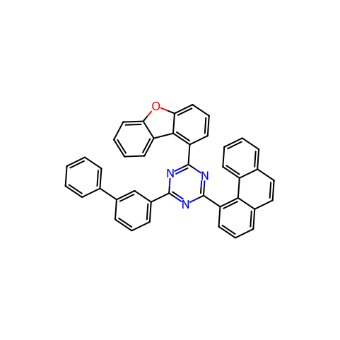 c1ccc(-c2cccc(-c3nc(-c4cccc5ccc6ccccc6c45)nc(-c4cccc5oc6ccccc6c45)n3)c2)cc1